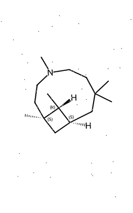 C[C@@H]1[C@H]2CC(C)(C)CCN(C)CC[C@]1(C)C2